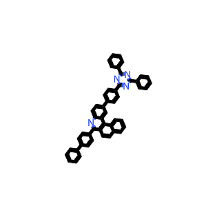 c1ccc(-c2ccc(-c3nc4ccc(-c5ccc(-c6nc(-c7ccccc7)nc(-c7ccccc7)n6)cc5)cc4c4c3ccc3ccccc34)cc2)cc1